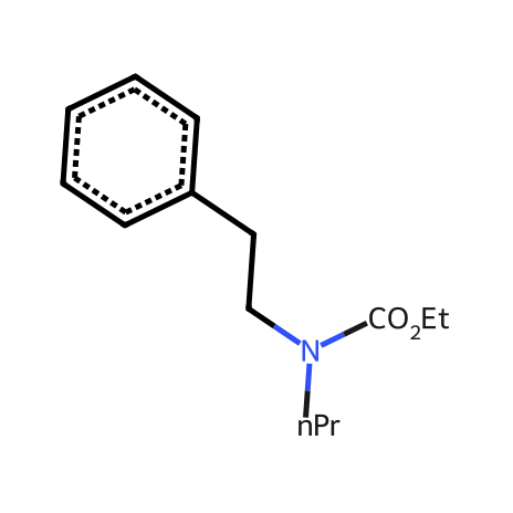 CCCN(CCc1ccccc1)C(=O)OCC